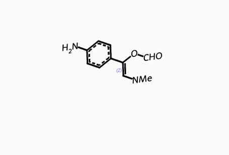 CN/C=C(\OC=O)c1ccc(N)cc1